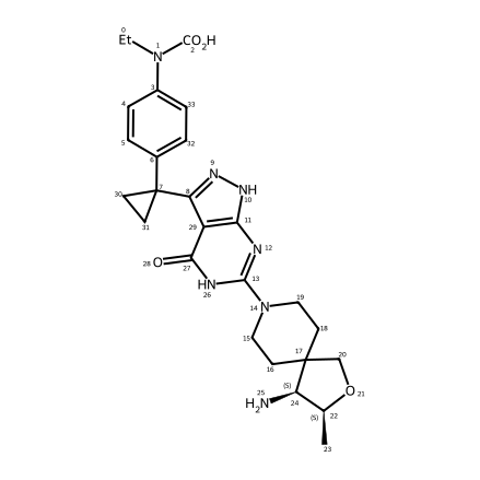 CCN(C(=O)O)c1ccc(C2(c3n[nH]c4nc(N5CCC6(CC5)CO[C@@H](C)[C@H]6N)[nH]c(=O)c34)CC2)cc1